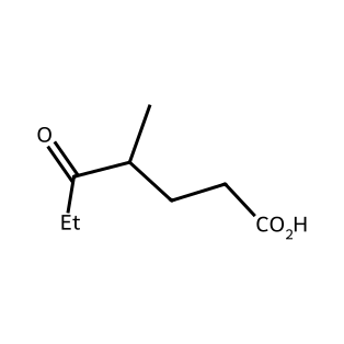 CCC(=O)C(C)CCC(=O)O